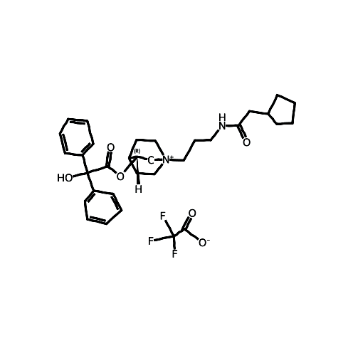 O=C(CC1CCCC1)NCCC[N+]12CCC(CC1)[C@@H](OC(=O)C(O)(c1ccccc1)c1ccccc1)C2.O=C([O-])C(F)(F)F